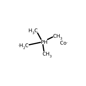 [CH2][PH](C)(C)C.[Co]